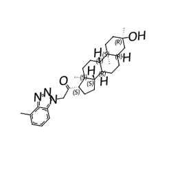 Cc1cccc2c1nnn2CC(=O)[C@H]1CC[C@H]2[C@@H]3CC[C@@H]4C[C@](C)(O)CC[C@]4(C)[C@H]3CC[C@]12C